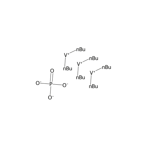 CCC[CH2][V+][CH2]CCC.CCC[CH2][V+][CH2]CCC.CCC[CH2][V+][CH2]CCC.O=P([O-])([O-])[O-]